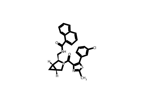 Cc1nc(C(=O)N2C[C@@H]3C[C@@H]3[C@H]2CNC(=O)c2cccc3ccccc23)c(-c2cccc(Cl)c2)s1